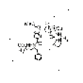 CC[C@H](C)[C@H](NC(=O)[C@H]1CCCCN1C)C(=O)N[C@H](C[C@@H](OCOC)c1nc(C(=O)N[C@@H](Cc2ccccc2)C[C@H](C)C(=O)O)cs1)C(C)C